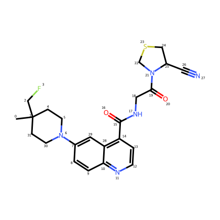 CC1(CF)CCN(c2ccc3nccc(C(=O)NCC(=O)N4CSCC4C#N)c3c2)CC1